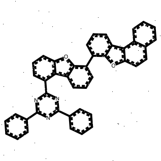 c1ccc(-c2nc(-c3ccccc3)nc(-c3cccc4oc5c(-c6cccc7c6oc6ccc8ccccc8c67)cccc5c34)n2)cc1